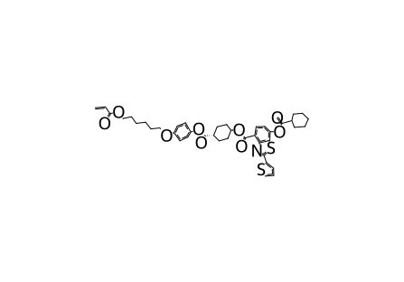 C=CC(=O)OCCCCCCOc1ccc(OC(=O)[C@H]2CC[C@H](OC(=O)c3ccc(OC(=O)C4CCCCC4)c4sc(-c5cccs5)nc34)CC2)cc1